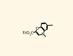 CCOC(=O)C1=CN(C)c2cc(C)ccc2O1